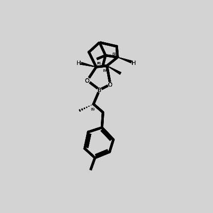 Cc1ccc(C[C@H](C)B2O[C@@H]3CC4C[C@@H](C4(C)C)[C@]3(C)O2)cc1